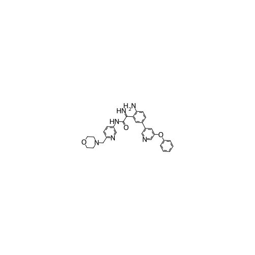 N=C(C(=O)Nc1ccc(CN2CCOCC2)nc1)c1cc(-c2cncc(Oc3ccccc3)c2)ccc1N